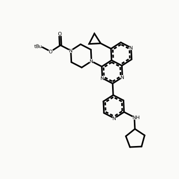 CC(C)(C)OC(=O)N1CCN(c2nc(-c3ccnc(NC4CCCC4)c3)nc3cncc(C4CC4)c23)CC1